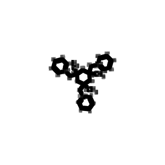 CC1(C[n+]2ccccc2)CC(C)(C[n+]2ccccc2)CC(C)(C[n+]2ccccc2)C1